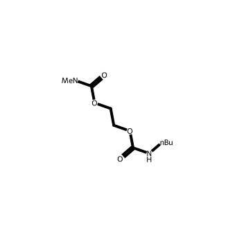 CCCCNC(=O)OCCOC(=O)NC